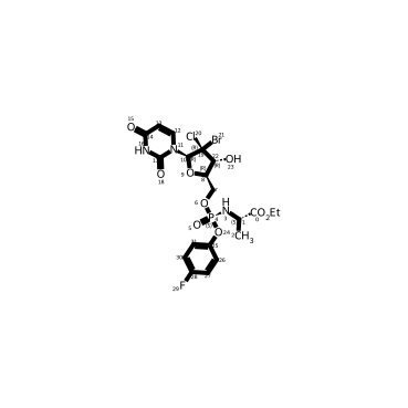 CCOC(=O)[C@H](C)N[P@](=O)(OC[C@H]1O[C@@H](n2ccc(=O)[nH]c2=O)[C@](Cl)(Br)[C@@H]1O)Oc1ccc(F)cc1